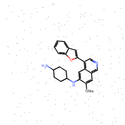 COc1cc2cncc(-c3cc4ccccc4o3)c2cc1NC1CCC(N)CC1